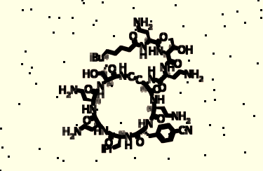 CC[C@H](C)CCCCC(=O)N[C@@H](CCN)C(=O)N[C@H](C(=O)N[C@@H](CCN)C(=O)N[C@H]1CCNC(=O)[C@H]([C@@H](C)O)NC(=O)[C@H](CCN)NC(=O)[C@H](CCN)NC(=O)[C@H](CC(C)C)NC(=O)[C@@H](Cc2ccc(C#N)cc2)NC(=O)[C@H](CCN)NC1=O)[C@@H](C)O